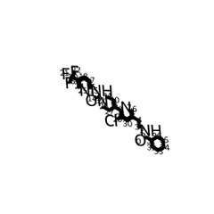 O=C(NCCc1cnc(C2=CCN(C(=O)Nc3ccc(C(F)(F)F)cn3)CC2)c(Cl)c1)C1CCCCC1